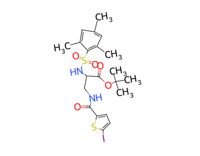 Cc1cc(C)c(S(=O)(=O)NC(CNC(=O)c2ccc(I)s2)C(=O)OC(C)(C)C)c(C)c1